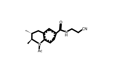 CC(=O)N1c2ccc(C(=O)NCCC#N)cc2C[C@@H](C)[C@@H]1C